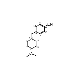 CN(C)C1CCN(Cc2ccc(C#N)cc2)CC1